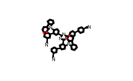 N#Cc1ccc(-c2ccc(-c3nc(-c4ccc(-n5c6ccccc6c6ccccc65)c(-c5cccc(C#N)c5)c4)nc(-c4cc(-c5cccc(C#N)c5)ccc4-n4c5ccccc5c5ccccc54)n3)cc2)cc1